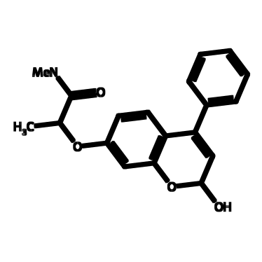 CNC(=O)C(C)Oc1ccc2c(c1)OC(O)C=C2c1ccccc1